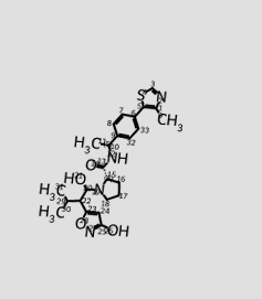 Cc1ncsc1-c1ccc([C@H](C)NC(=O)[C@@H]2CCCN2C(O)C(c2cc(O)no2)C(C)C)cc1